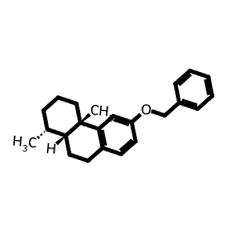 C[C@@H]1CCC[C@]2(C)c3cc(OCc4ccccc4)ccc3CC[C@H]12